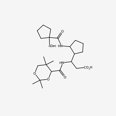 CCCCCCCCCCC1(C(=O)NC2CCCC2C(CC(=O)O)NC(=O)C2OC(C)(C)OCC2(C)C)CCCC1